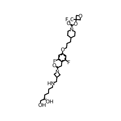 O=C(Cc1c(F)cc(OCCCC2CCN(C(=O)OC3(C(F)(F)F)COC3)CC2)cc1F)N1CC(CNCCCC[C@H](O)CO)C1